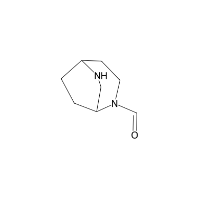 O=CN1CCC2CCC1CN2